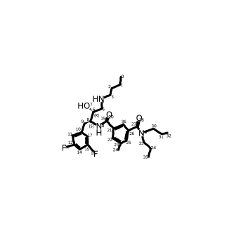 CCCCNC[C@@H](O)[C@H](Cc1cc(F)cc(F)c1)NC(=O)c1cc(C)cc(C(=O)N(CCC)CCC)c1